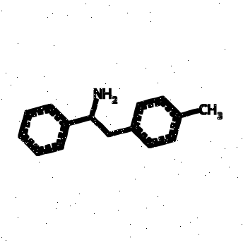 Cc1ccc(CC(N)c2ccccc2)cc1